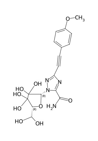 COc1ccc(C#Cc2nc(C(N)=O)n([C@@H]3O[C@H](C(O)O)C(O)(O)C3(O)O)n2)cc1